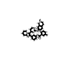 CN1CCc2ccc(Nc3nccc(-c4c(-c5cccc(NC(=O)c6cc(F)ccc6F)c5)nc5ccccn45)n3)cc2C1